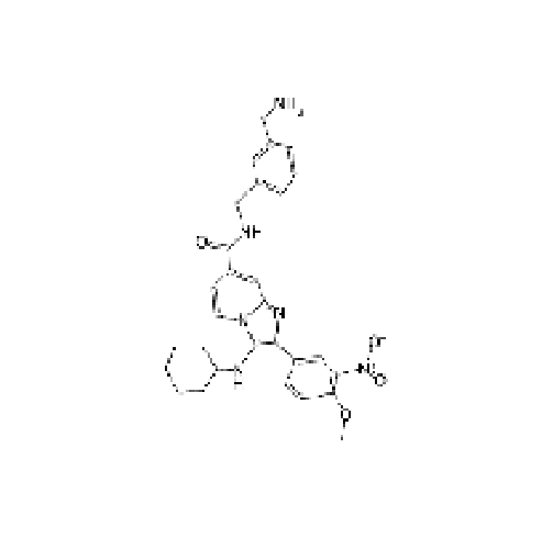 COc1ccc(-c2nc3cc(C(=O)NCc4cccc(CN)c4)ccn3c2NC2CCCCC2)cc1[N+](=O)[O-]